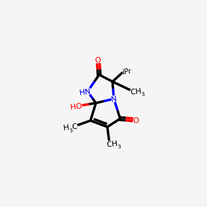 CC1=C(C)C2(O)NC(=O)C(C)(C(C)C)N2C1=O